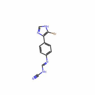 N#CNC=Nc1ccc(-c2nc[nH]c2Br)cc1